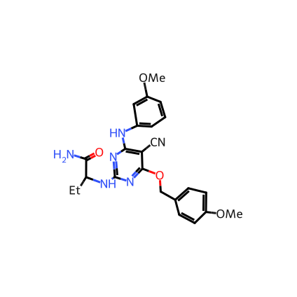 CCC(Nc1nc(Nc2cccc(OC)c2)c(C#N)c(OCc2ccc(OC)cc2)n1)C(N)=O